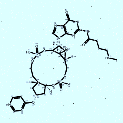 CNCCCC(=O)Nc1nc2c(ncn2[C@@H]2O[C@@H]3CO[P@@](=O)(S)O[C@H]4C[C@H](Oc5ccncn5)C[C@@H]4CCO[P@@](=O)(S)O[C@@H]2[C@@H]3O)c(=O)[nH]1